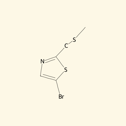 CSCc1ncc(Br)s1